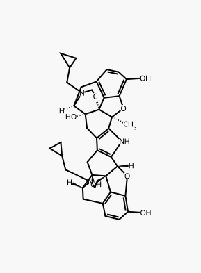 C[C@@]12Oc3c(O)ccc4c3[C@@]13CCN(CC1CC1)[C@H](C4)[C@]3(O)Cc1c2[nH]c2c1C[C@@]1(O)[C@H]3Cc4ccc(O)c5c4[C@@]1(CCN3CC1CC1)[C@H]2O5